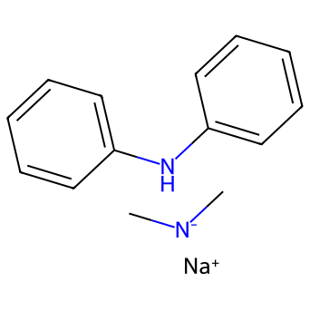 C[N-]C.[Na+].c1ccc(Nc2ccccc2)cc1